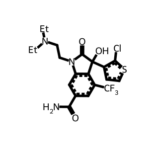 CCN(CC)CCN1C(=O)C(O)(c2ccsc2Cl)c2c1cc(C(N)=O)cc2C(F)(F)F